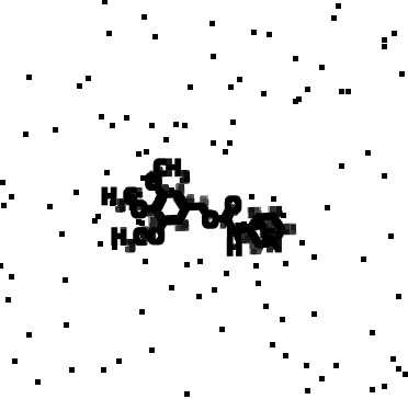 COc1cc(COC(=O)NC2CN3CCC2CC3)cc(OC)c1OC